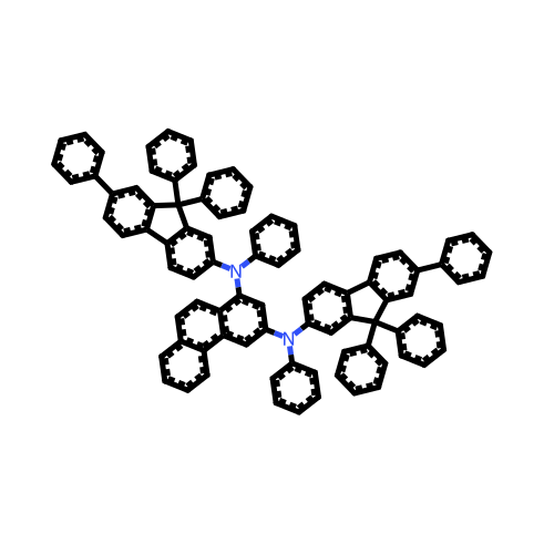 c1ccc(-c2ccc3c(c2)C(c2ccccc2)(c2ccccc2)c2cc(N(c4ccccc4)c4cc(N(c5ccccc5)c5ccc6c(c5)C(c5ccccc5)(c5ccccc5)c5cc(-c7ccccc7)ccc5-6)c5ccc6ccccc6c5c4)ccc2-3)cc1